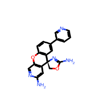 NC1=N[C@@]2(CO1)c1cc(-c3cccnc3)ccc1Oc1cnc(N)cc12